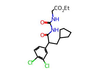 CCOC(=O)CNC(=O)NC(=O)C(CC1CCCC1)c1ccc(Cl)c(Cl)c1